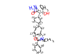 CC(O)C(C(N)=O)c1ccc(-c2cccc(CN(C)C(=O)c3ccccc3)c2)cc1